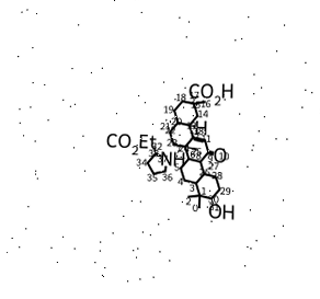 CC1(C)C2CC[C@]3(C)C(C(=O)C=C4[C@H]5C[C@@](C)(C(=O)O)CC[C@]5(C)CC[C@]43C)[C@@]2(C)CC[C@@H]1O.CCOC(=O)[C@@H]1CCCN1